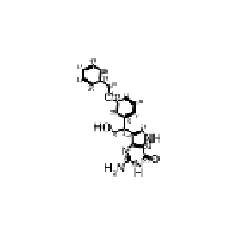 Nc1nc2c(C(CO)c3cccc(OCc4ccccc4)c3)c[nH]c2c(=O)[nH]1